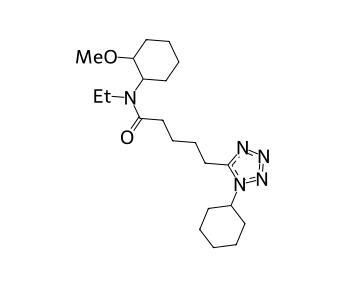 CCN(C(=O)CCCCc1nnnn1C1CCCCC1)C1CCCCC1OC